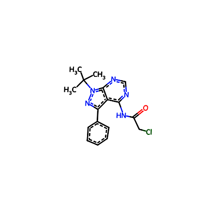 CC(C)(C)n1nc(-c2ccccc2)c2c(NC(=O)CCl)ncnc21